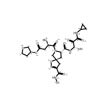 CCC[C@H](NC(=O)[C@@H]1C[C@]2(CC(C(=O)NCC)=NO2)CN1C(=O)[C@@H](CC(=O)O[C@H]1CCOC1)C(C)(C)C)C(=O)C(=O)NC1CC1